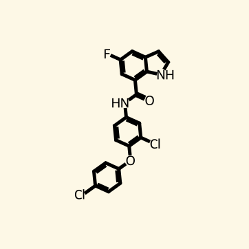 O=C(Nc1ccc(Oc2ccc(Cl)cc2)c(Cl)c1)c1cc(F)cc2cc[nH]c12